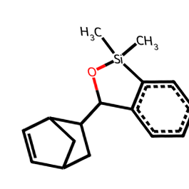 C[Si]1(C)OC(C2CC3C=CC2C3)c2ccccc21